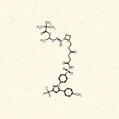 Cc1ccc(-c2cc(C(F)(F)F)nn2-c2ccc(S(=O)(=O)NC(=O)CCC(=O)OC[C@@H]3CCN3/[N+]([O-])=N/OC(C)OC(=O)C(C)(C)C)cc2)cc1